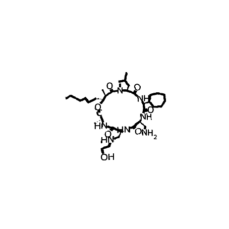 CCCCCC[C@H]1OC[C@@H](C)NC(=O)[C@H](CNCCO)NC(=O)[C@H](CN)NC(=O)[C@H](C2CCCCCC2)NC(=O)[C@H](CC(C)C)N(C)C(=O)[C@@H]1C